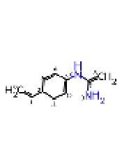 C=CC1C=CC(NC(=C)N)=CC1